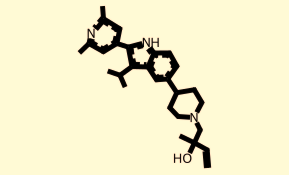 C=CC(C)(O)CN1CCC(c2ccc3[nH]c(-c4cc(C)nc(C)c4)c(C(C)C)c3c2)CC1